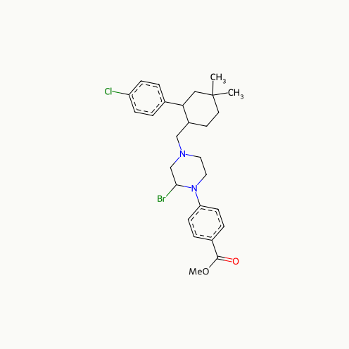 COC(=O)c1ccc(N2CCN(CC3CCC(C)(C)CC3c3ccc(Cl)cc3)CC2Br)cc1